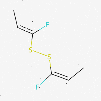 CC=C(F)SSC(F)=CC